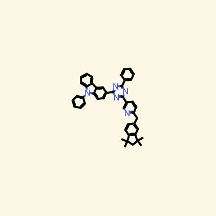 CC1(C)CC(C)(C)c2cc(Cc3ccc(-c4nc(-c5ccccc5)nc(-c5ccc6c(c5)c5ccccc5n6-c5ccccc5)n4)cn3)ccc21